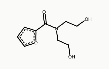 O=C(c1ccco1)N(CCO)CCO